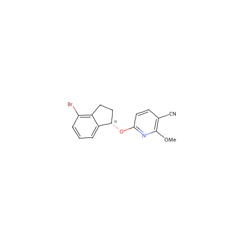 COc1nc(O[C@H]2CCc3c(Br)cccc32)ccc1C#N